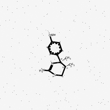 COc1ccc([C@]2(C)N=C(N)SC[C@H]2C)cc1